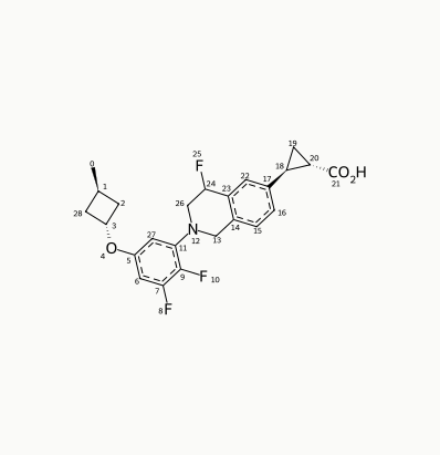 C[C@H]1C[C@H](Oc2cc(F)c(F)c(N3Cc4ccc([C@H]5C[C@@H]5C(=O)O)cc4C(F)C3)c2)C1